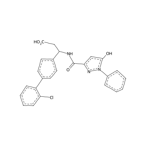 O=C(O)CC(NC(=O)c1cc(O)n(-c2ccccc2)n1)c1ccc(-c2ccccc2Cl)cc1